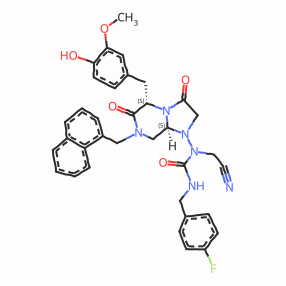 COc1cc(C[C@H]2C(=O)N(Cc3cccc4ccccc34)C[C@H]3N2C(=O)CN3N(CC#N)C(=O)NCc2ccc(F)cc2)ccc1O